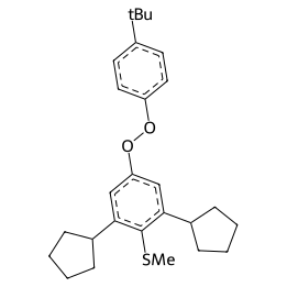 CSc1c(C2CCCC2)cc(OOc2ccc(C(C)(C)C)cc2)cc1C1CCCC1